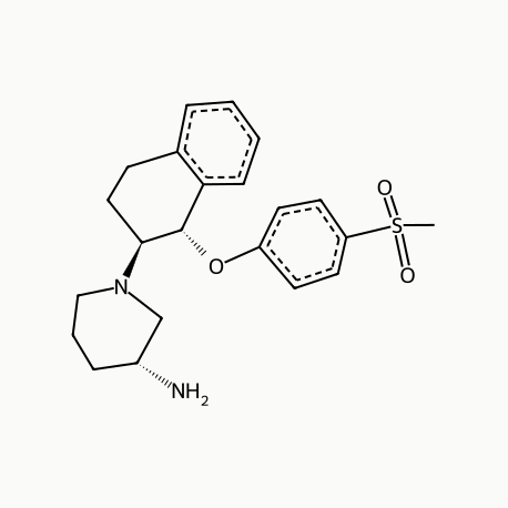 CS(=O)(=O)c1ccc(O[C@H]2c3ccccc3CC[C@@H]2N2CCC[C@@H](N)C2)cc1